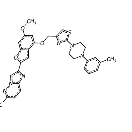 COc1cc(OCc2csc(N3CCN(c4cccc(C)c4)CC3)n2)c2cc(-c3cn4nc(C)ccc4n3)oc2c1